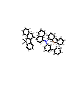 CC1(C)c2ccccc2-c2c(-c3ccc(N(c4cccc(-c5ccccc5)c4)c4cccc5c4sc4ccccc45)c4ccccc34)cc3ccccc3c21